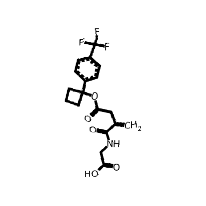 C=C(CC(=O)OC1(c2ccc(C(F)(F)F)cc2)CCC1)C(=O)NCC(=O)O